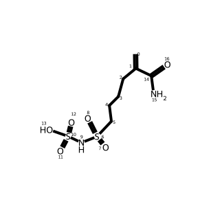 C=C(CCCCS(=O)(=O)NS(=O)(=O)O)C(N)=O